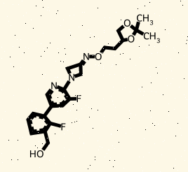 CC1(C)OCC(CCON=C2CN(c3ncc(-c4cccc(CO)c4F)cc3F)C2)O1